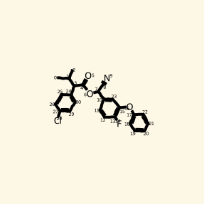 CC(C)C(C(=O)OC(C#N)c1ccc(F)c(Oc2ccccc2)c1)c1ccc(Cl)cc1